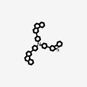 c1ccc2c(c1)ccc1ccc(-c3ccc(N(c4ccc(-c5ccc6ccc7ccccc7c6c5)cc4)c4ccc(-c5ccc6sc7ccccc7c6c5)cc4)cc3)cc12